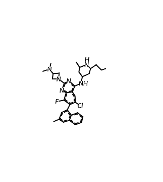 CCCC1CC(Nc2nc(N3CC(N(C)C)C3)nc3c(F)c(-c4cc(C)cc5ccccc45)c(Cl)cc23)CC(C)N1